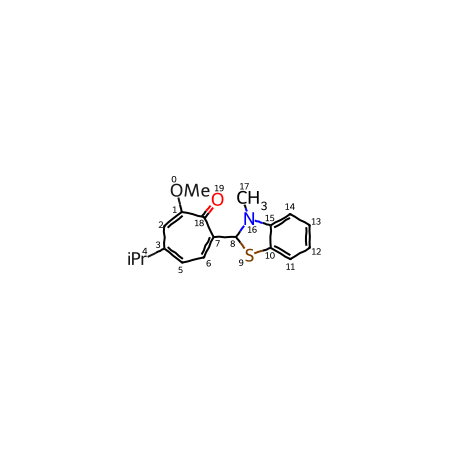 COc1cc(C(C)C)ccc(C2Sc3ccccc3N2C)c1=O